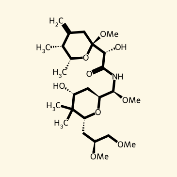 C=C1C[C@](OC)([C@H](O)C(=O)N[C@@H](OC)[C@@H]2C[C@@H](O)C(C)(C)[C@@H](C[C@@H](COC)OC)O2)O[C@H](C)[C@@H]1C